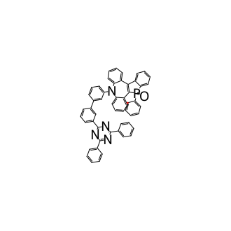 O=P1(c2ccccc2)C2=C(c3ccccc3N(c3cccc(-c4cccc(-c5nc(-c6ccccc6)nc(-c6ccccc6)n5)c4)c3)c3ccccc32)c2ccccc21